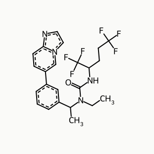 CCN(C(=O)NC(CCC(F)(F)F)C(F)(F)F)C(C)c1cccc(-c2ccc3nccn3c2)c1